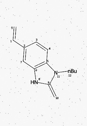 C=Cc1ccc2c(c1)NC(=C)N2CCCC